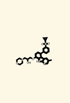 Cc1cnc2[nH]c3c(OCC(O)CN4CCOCC4)ccc(-c4cccc(S(=O)(=O)C5CC5)c4)c3c2c1